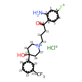 Cl.Nc1cc(F)ccc1C(=O)CCCN1CCC(O)(c2cccc(C(F)(F)F)c2)CC1